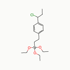 CCO[Si](CCc1ccc(C(Cl)CC)cc1)(OCC)OCC